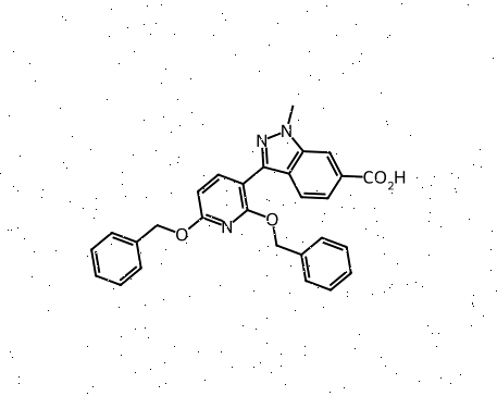 Cn1nc(-c2ccc(OCc3ccccc3)nc2OCc2ccccc2)c2ccc(C(=O)O)cc21